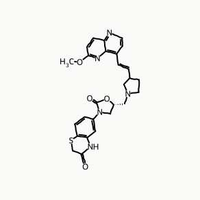 COc1ccc2nccc(C=CC3CCN(C[C@@H]4CN(c5ccc6c(c5)NC(=O)CS6)C(=O)O4)C3)c2n1